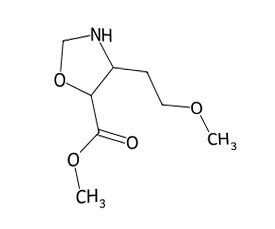 COCCC1NCOC1C(=O)OC